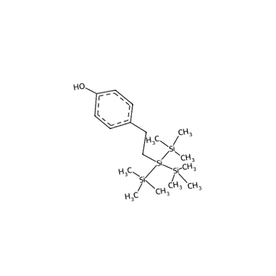 C[Si](C)(C)[Si](CCc1ccc(O)cc1)([Si](C)(C)C)[Si](C)(C)C